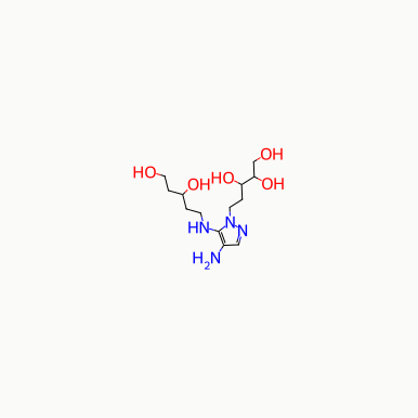 Nc1cnn(CCC(O)C(O)CO)c1NCCC(O)CCO